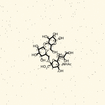 CC(=O)N[C@@H]1C(O)C[C@](OCC2O[C@@H](O[C@@H]3C(CO)O[C@@H](O)C(O)C3O)C(O)C(O)[C@H]2O)(C(=O)O)OC1[C@H](O)[C@H](O)CO